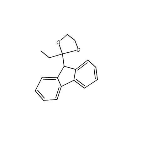 CCC1(C2c3ccccc3-c3ccccc32)OCCO1